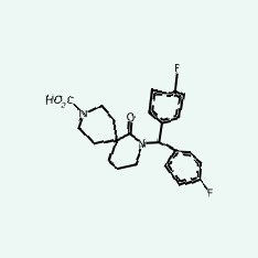 O=C(O)N1CCC2(CCCN(C(c3ccc(F)cc3)c3ccc(F)cc3)C2=O)CC1